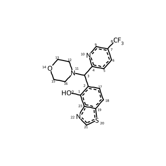 Oc1c(C(c2ccc(C(F)(F)F)cn2)N2CCOCC2)ccc2scnc12